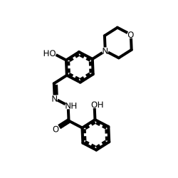 O=C(N/N=C\c1ccc(N2CCOCC2)cc1O)c1ccccc1O